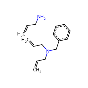 C=CCN.C=CCN(CC=C)Cc1ccccc1